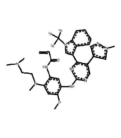 [2H]C([2H])([2H])n1cc(-c2nc(Nc3cc(NC(=O)C=C)c(N(C)CCN(C)C)cc3OC)ncc2-c2cnn(C)c2)c2ccccc21